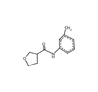 Cc1cccc(NC(=O)C2CCOC2)c1